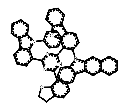 c1ccc(-n2c3ccccc3c3cccc(-c4nc(-c5cccc6c5OCC6)nc(-c5c(-n6c7ccccc7c7cc8ccccc8cc76)ccc6c5oc5ccccc56)n4)c32)cc1